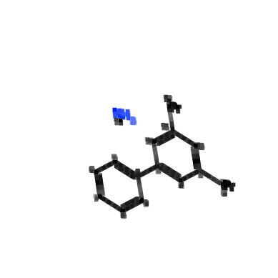 CC(C)c1cc(-c2ccccc2)cc(C(C)C)c1.N